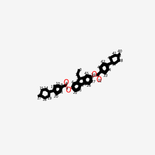 CCC1c2cc(OC(=O)c3ccc(C4CCC(C)CC4)cc3)ccc2-c2ccc(OC(=O)c3ccc(C4CCC(C)CC4)cc3)cc21